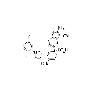 N#Cc1c(N)nn2cnc(C3(C(=O)O)C=C(C4CCN(c5cc(F)ccc5F)C4)C([N+](=O)[O-])=CC3)cc12